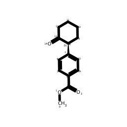 COC(=O)c1ccc([C@@H]2CCCCC2=O)cc1